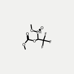 COC(=O)OC([PH](=O)OC)C(F)(F)F